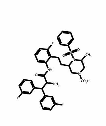 CC1CN(C(=O)O)CC(CCc2c(F)cccc2NC(=O)C(N)C(c2cccc(F)c2)c2cccc(F)c2)N1S(=O)(=O)c1ccccc1